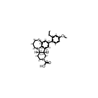 CCc1cc(OC)ccc1-c1cc2c3c(c1)[C@@H]1CN(C(=O)O)CC[C@@H]1N3CCCS2